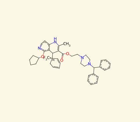 CC1=C(C(=O)OCCN2CCN(C(c3ccccc3)c3ccccc3)CC2)C([C@]2(C(F)(F)F)C=CC=CC2)c2c(ccnc2OC2CCCC2)N1